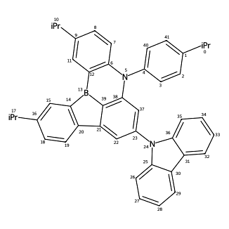 CC(C)c1ccc(N2c3ccc(C(C)C)cc3B3c4cc(C(C)C)ccc4-c4cc(-n5c6ccccc6c6ccccc65)cc2c43)cc1